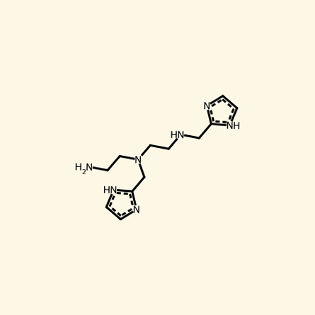 NCCN(CCNCc1ncc[nH]1)Cc1ncc[nH]1